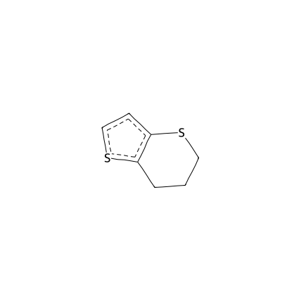 c1cc2c(s1)CCCS2